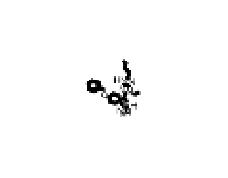 CCCCc1nc2c(nc(C(C)C3(c4nnn[nH]4)C=CC(OCc4ccccc4)=CC3)n2CC)[nH]1